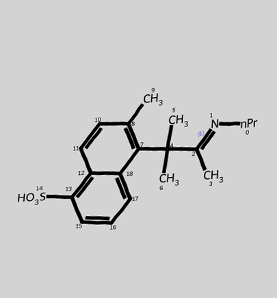 CCC/N=C(\C)C(C)(C)c1c(C)ccc2c(S(=O)(=O)O)cccc12